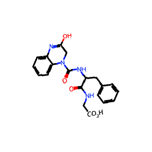 O=C(O)CNC(=O)C(Cc1ccccc1)NC(=O)N1CC(O)=Nc2ccccc21